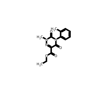 CCOC(=O)c1nn(C)c(=O)n(-c2ccccc2C)c1=O